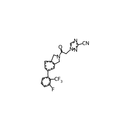 N#Cc1ncn(CC(=O)N2Cc3ccc(-c4cccc(F)c4C(F)(F)F)cc3C2)n1